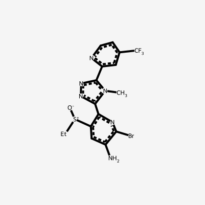 CC[S+]([O-])c1cc(N)c(Br)nc1-c1nnc(-c2cc(C(F)(F)F)ccn2)n1C